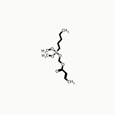 CC=CC(=O)OCO[Si](CCCCC)(OC)OC